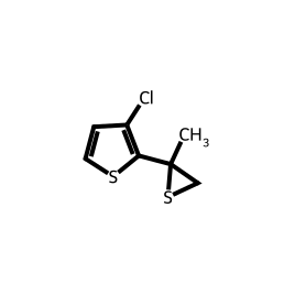 CC1(c2sccc2Cl)CS1